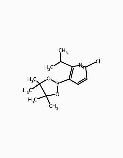 CC(C)c1nc(Cl)ccc1B1OC(C)(C)C(C)(C)O1